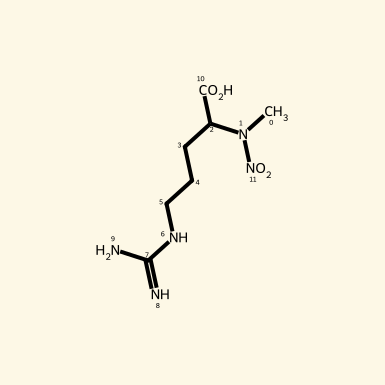 CN(C(CCCNC(=N)N)C(=O)O)[N+](=O)[O-]